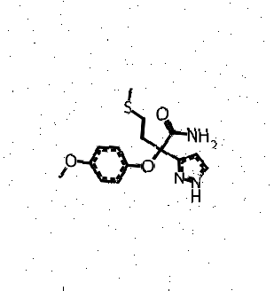 COc1ccc(OC(CCSC)(C(N)=O)c2cc[nH]n2)cc1